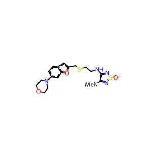 CNc1n[s+]([O-])nc1NCCSCc1cc2ccc(N3CCOCC3)cc2o1